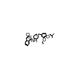 CCOc1cc(CN2CCC(Nc3nc(Cl)cc4ccccc34)CC2)ccc1OCC(C)C